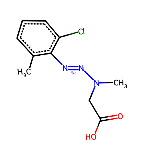 Cc1cccc(Cl)c1/N=N/N(C)CC(=O)O